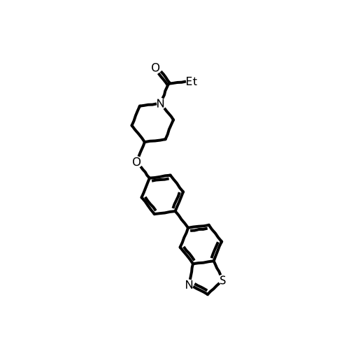 CCC(=O)N1CCC(Oc2ccc(-c3ccc4scnc4c3)cc2)CC1